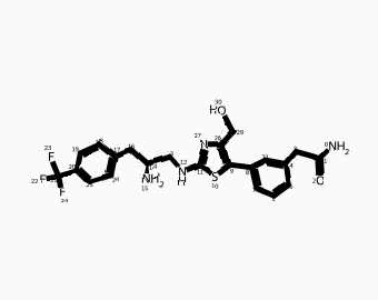 NC(=O)Cc1cccc(-c2sc(NC[C@@H](N)Cc3ccc(C(F)(F)F)cc3)nc2CO)c1